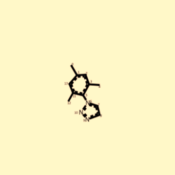 Cc1cc(C)c(-n2ccnn2)c(C)c1